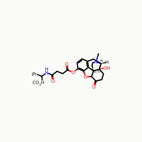 CC(C)C(NC(=O)CCC(=O)Oc1ccc2c3c1OC1C(=O)CC[C@@]4(O)[C@@H](C2)N(C)CC[C@]314)C(=O)O